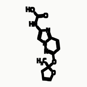 CC1(Oc2ccc3nc(NC(=O)O)cn3n2)CC=CO1